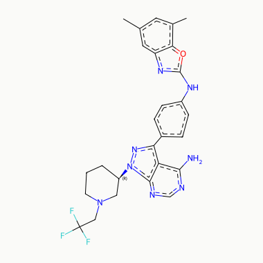 Cc1cc(C)c2oc(Nc3ccc(-c4nn([C@@H]5CCCN(CC(F)(F)F)C5)c5ncnc(N)c45)cc3)nc2c1